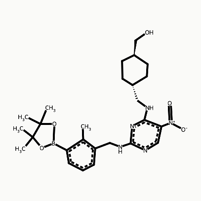 Cc1c(CNc2ncc([N+](=O)[O-])c(NC[C@H]3CC[C@H](CO)CC3)n2)cccc1B1OC(C)(C)C(C)(C)O1